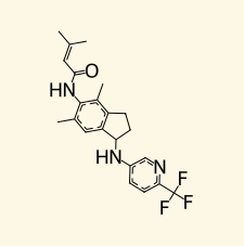 CC(C)=CC(=O)Nc1c(C)cc2c(c1C)CCC2Nc1ccc(C(F)(F)F)nc1